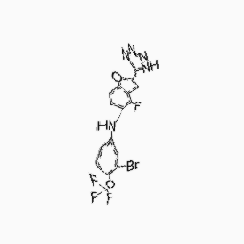 Fc1c(CNc2ccc(OC(F)(F)F)c(Br)c2)ccc2oc(-c3nnn[nH]3)cc12